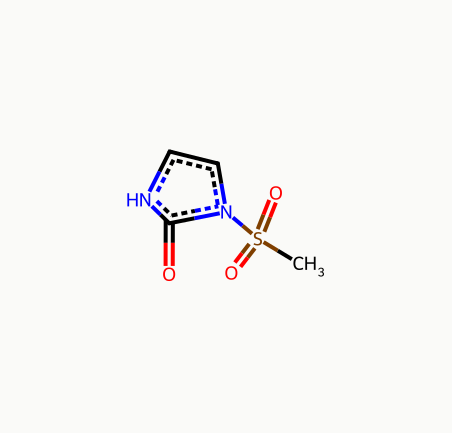 CS(=O)(=O)n1cc[nH]c1=O